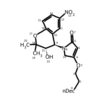 CCCCCCCCCCCCOC1=CC(=O)N([C@@H]2c3cc([N+](=O)[O-])ccc3OC(C)(C)[C@H]2O)C1